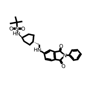 CC(C)(C)S(=O)(=O)N[C@H]1CC[C@H](CNc2ccc3c(c2)C(=O)N(c2ccccc2)C3=O)CC1